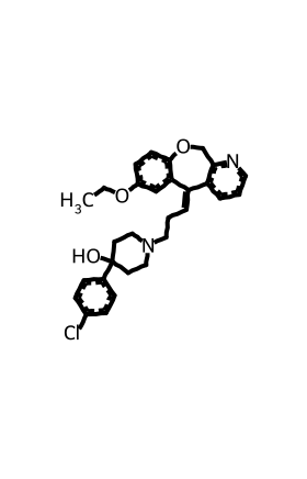 CCOc1ccc2c(c1)C(=CCCN1CCC(O)(c3ccc(Cl)cc3)CC1)c1cccnc1CO2